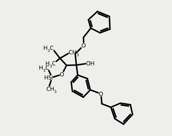 C[SiH](C)OC(C(C)(C)C)C(O)(COCc1ccccc1)c1cccc(OCc2ccccc2)c1